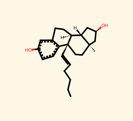 CCCCC=C[C@]12CC[C@]3(C)C[C@H](O)C[C@H]3[C@@H]1CCc1cc(O)ccc12